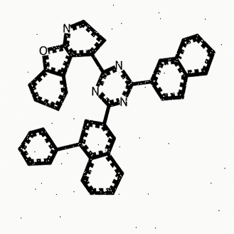 c1ccc(-c2cc(-c3nc(-c4ccc5ccccc5c4)nc(-c4ccnc5oc6ccccc6c45)n3)cc3ccccc23)cc1